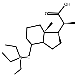 CC[Si](CC)(CC)OC1CCC[C@@]2(C)C1CC[C@@H]2[C@H](C)C(=O)O